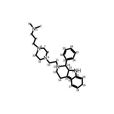 CN(C)CCCN1CCN(CCN2CCC3=C4C=CCC=C4NC3C2c2ccccc2)CC1